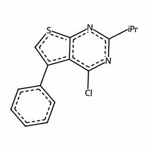 CC(C)c1nc(Cl)c2c(-c3ccccc3)csc2n1